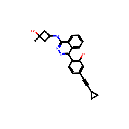 CC1(O)CC(Nc2nnc(-c3ccc(C#CC4CC4)cc3O)c3ccccc23)C1